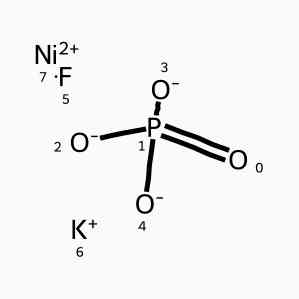 O=P([O-])([O-])[O-].[F].[K+].[Ni+2]